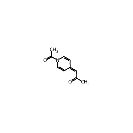 CC(=O)C=C1C=CN(C(C)=O)C=C1